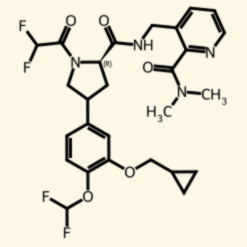 CN(C)C(=O)c1ncccc1CNC(=O)[C@H]1CC(c2ccc(OC(F)F)c(OCC3CC3)c2)CN1C(=O)C(F)F